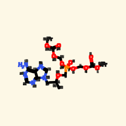 CC(C)OC(=O)OCOP(=O)(CO[C@@H](C)Cn1cnc2c(N)ncnc21)OCOC(=O)OC(C)C